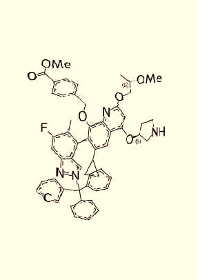 COC(=O)c1ccc(COc2c(-c3c(C)c(F)cc4nn(C(c5ccccc5)(c5ccccc5)c5ccccc5)cc34)c(C3CC3)cc3c(O[C@H]4CCNC4)cc(OC[C@H](C)OC)nc23)cc1